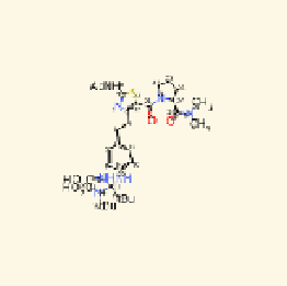 CC(=O)Nc1nc(CCc2ccc(NC(NC(=O)O)(N(C(=O)O)C(C)(C)C)C(C)(C)C)cc2)c(C(=O)N2CCC[C@H]2C(=O)N(C)C)s1